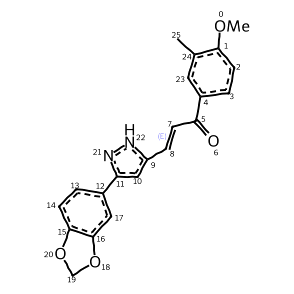 COc1ccc(C(=O)/C=C/c2cc(-c3ccc4c(c3)OCO4)n[nH]2)cc1C